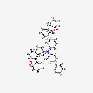 c1ccc(-c2ccc(N(c3cccc(-c4cccc5c4oc4ccccc45)c3)c3ccc4ccc5oc6ccccc6c5c4c3)cc2)cc1